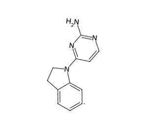 Nc1nccc(N2CCc3cc[c]cc32)n1